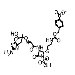 CC(Cc1csc(N)n1)(ON=CC(=O)N[C@@H]1C(=O)N(S(=O)(=O)O)[C@@H]1SCCNC(=O)OCc1ccc([N+](=O)[O-])cc1)C(=O)O